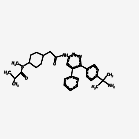 CC(C)C(=O)N(C)C1CCC(CC(=O)Nc2cc(-c3ccccc3)c(-c3ccc(C(C)(C)N)cc3)nn2)CC1